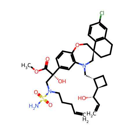 C=CCCCN(C[C@@](O)(C(=O)OC)c1ccc2c(c1)N(C[C@@H]1CC[C@H]1[C@@H](O)C=C)C[C@@]1(CCCc3cc(Cl)ccc31)CO2)S(N)(=O)=O